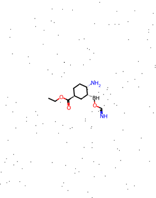 CCOC(=O)[C@H]1CC[C@H](N)[C@H](BOC=N)C1